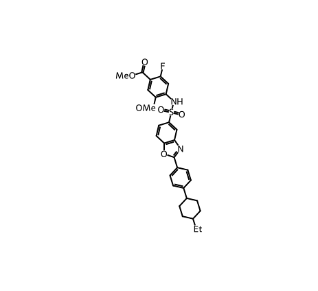 CCC1CCC(c2ccc(-c3nc4cc(S(=O)(=O)Nc5cc(F)c(C(=O)OC)cc5OC)ccc4o3)cc2)CC1